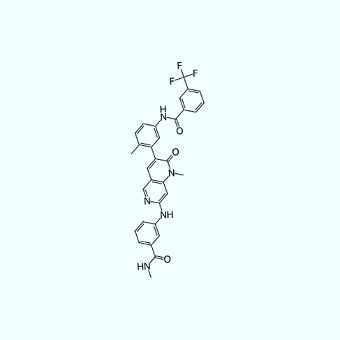 CNC(=O)c1cccc(Nc2cc3c(cn2)cc(-c2cc(NC(=O)c4cccc(C(F)(F)F)c4)ccc2C)c(=O)n3C)c1